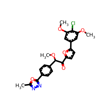 COc1cc(-c2ccc(C(=O)C(OC)c3ccc(-c4nnc(C)o4)cc3)o2)cc(OC)c1Cl